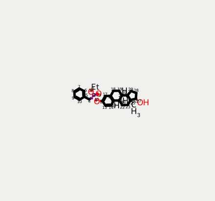 CCOP(=O)(Cc1ccccc1)Oc1ccc2c(c1)CC[C@@H]1[C@@H]2CC[C@]2(C)[C@@H](O)CC[C@@H]12